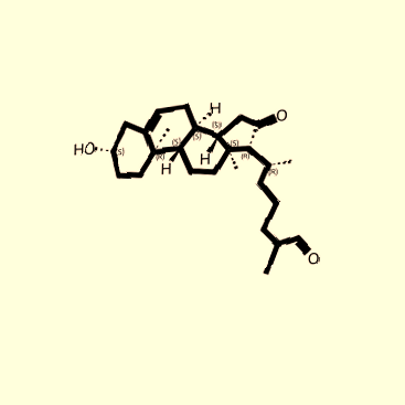 CC(C=O)CCC[C@@H](C)[C@H]1C(=O)C[C@H]2[C@@H]3CC=C4C[C@@H](O)CC[C@]4(C)[C@H]3CC[C@]12C